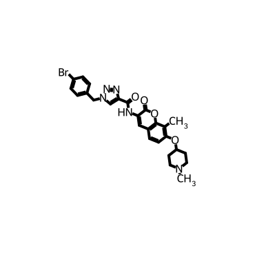 Cc1c(OC2CCN(C)CC2)ccc2cc(NC(=O)c3cn(Cc4ccc(Br)cc4)nn3)c(=O)oc12